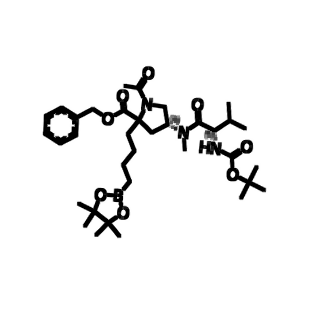 CC(=O)N1C[C@H](N(C)C(=O)[C@@H](NC(=O)OC(C)(C)C)C(C)C)CC1(CCCCB1OC(C)(C)C(C)(C)O1)C(=O)OCc1ccccc1